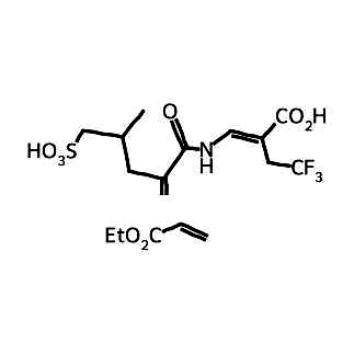 C=C(CC(C)CS(=O)(=O)O)C(=O)NC=C(CC(F)(F)F)C(=O)O.C=CC(=O)OCC